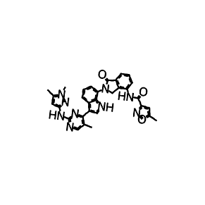 Cc1cc(C(=O)Nc2cccc3c2CN(c2cccc4c(-c5nc(Nc6cc(C)n(C)n6)ncc5C)c[nH]c24)C3=O)no1